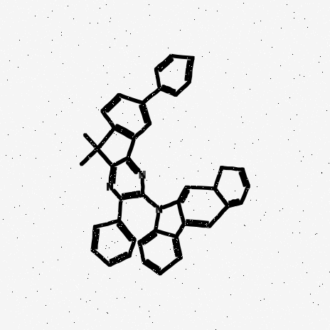 CC1(C)c2ccc(-c3ccccc3)cc2-c2nc(-n3c4c(c5ccccc53)=CC3=CC=CCC3C=4)c(-c3ccccc3)nc21